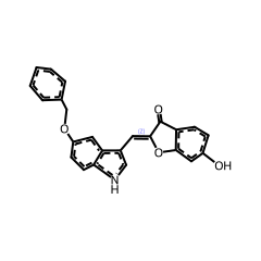 O=C1/C(=C/c2c[nH]c3ccc(OCc4ccccc4)cc23)Oc2cc(O)ccc21